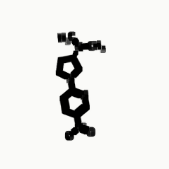 CN(C)[C@H]1CCN(c2ccc([N+](=O)[O-])cn2)C1